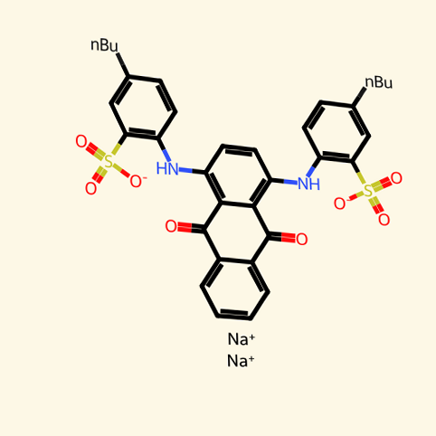 CCCCc1ccc(Nc2ccc(Nc3ccc(CCCC)cc3S(=O)(=O)[O-])c3c2C(=O)c2ccccc2C3=O)c(S(=O)(=O)[O-])c1.[Na+].[Na+]